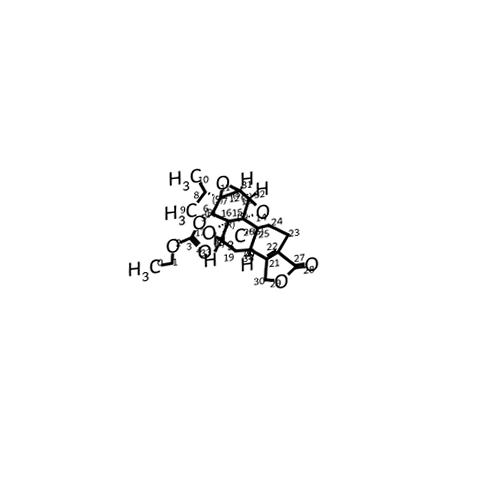 CCOC(=O)O[C@@H]1[C@@]2(C(C)C)O[C@H]2[C@@H]2O[C@]23[C@]12O[C@H]2C[C@H]1C2=C(CC[C@@]13C)C(=O)OC2